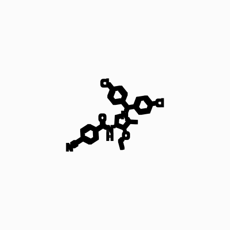 CCO[C@@H]1C(C)N(C(c2ccc(Cl)cc2)c2ccc(Cl)cc2)C[C@H]1NC(=O)c1ccc(C#N)cc1